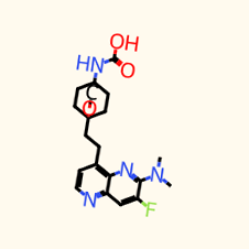 CN(C)c1nc2c(CCC34CCC(NC(=O)O)(CC3)CO4)ccnc2cc1F